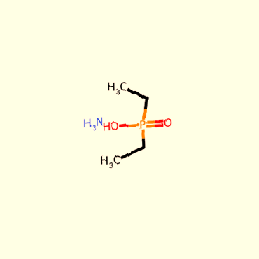 CCP(=O)(O)CC.N